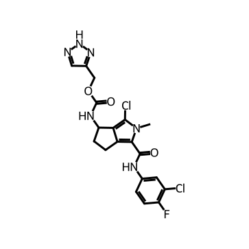 Cn1c(Cl)c2c(c1C(=O)Nc1ccc(F)c(Cl)c1)CCC2NC(=O)OCc1cn[nH]n1